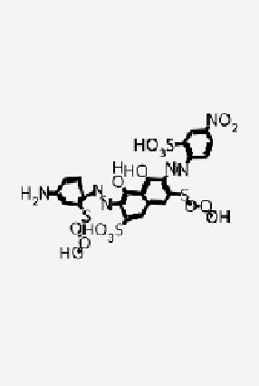 Nc1ccc(/N=N/c2c(S(=O)(=O)O)cc3cc(SOOO)c(/N=N/c4ccc([N+](=O)[O-])cc4S(=O)(=O)O)c(O)c3c2O)c(SOOO)c1